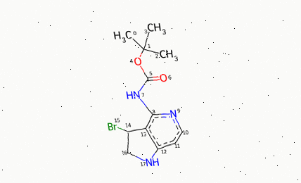 CC(C)(C)OC(=O)Nc1nccc2c1C(Br)CN2